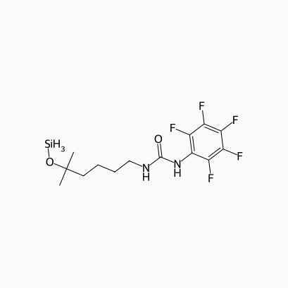 CC(C)(CCCCNC(=O)Nc1c(F)c(F)c(F)c(F)c1F)O[SiH3]